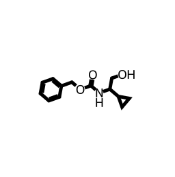 O=C(NC(CO)C1CC1)OCc1ccccc1